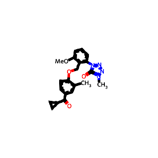 COc1cccc(-n2nnn(C)c2=O)c1COc1ccc(C(=O)C2CC2)cc1C